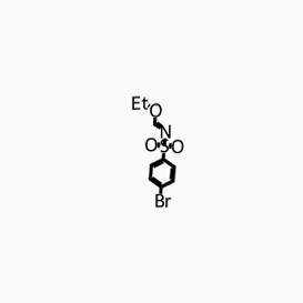 CCOC=NS(=O)(=O)c1ccc(Br)cc1